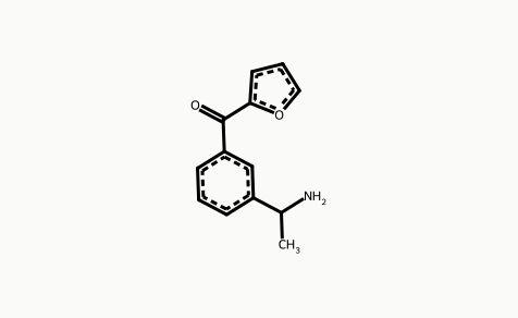 CC(N)c1cccc(C(=O)c2ccco2)c1